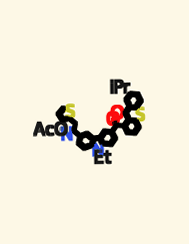 CCn1c2ccc(C(=O)c3cccc4sc5ccc(C(C)C)cc5c(=O)c34)cc2c2cc(C(Cc3cccs3)=NOC(C)=O)ccc21